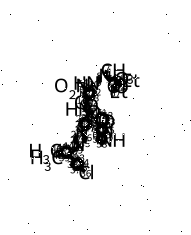 CCOP(=O)(CCN(C)CCNc1ccc(S(=O)(=O)NC(=O)c2ccc(N3CCN(CC4=C(c5ccc(Cl)cc5)CC(C)(C)CC4)CC3)cc2N2CCCOc3nc4[nH]ccc4cc32)cc1[N+](=O)[O-])OCC